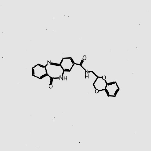 O=C(NCC1COc2ccccc2O1)C1=CCC2=Nc3ccccc3C(=O)NC2=C1